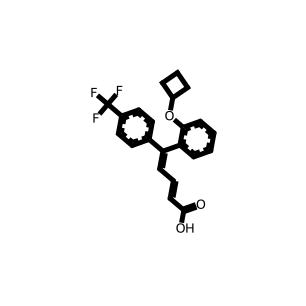 O=C(O)C=CC=C(c1ccc(C(F)(F)F)cc1)c1ccccc1OC1CCC1